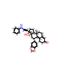 C[C@]12C[C@H](c3ccc4c(c3)OCO4)C3=C4CCC(=O)C=C4CC[C@H]3[C@@H]1CC[C@@]2(O)C#CNc1ccccc1